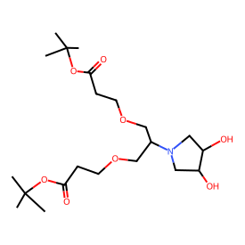 CC(C)(C)OC(=O)CCOCC(COCCC(=O)OC(C)(C)C)N1CC(O)C(O)C1